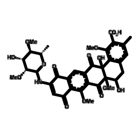 COc1c2c(cc3c1C(=O)C1(OC)C(O)Cc4cc(C)c(C(=O)O)c(OC)c4C1(O)C3=O)C(=O)C(NC1O[C@@H](C)[C@H](OC)[C@@H](O)[C@H]1OC)=CC2=O